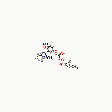 COc1ccc(OCC(O)COC(=O)C2CC(C)C2C)cc1-c1cc2ccccc2n1C